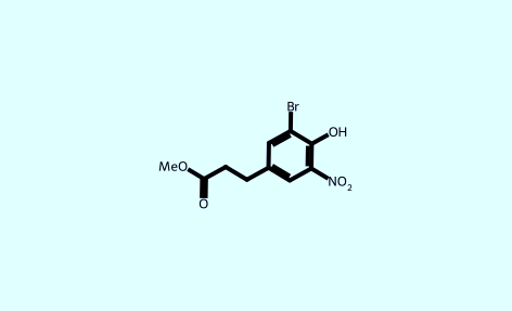 COC(=O)CCc1cc(Br)c(O)c([N+](=O)[O-])c1